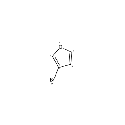 Brc1c[c]oc1